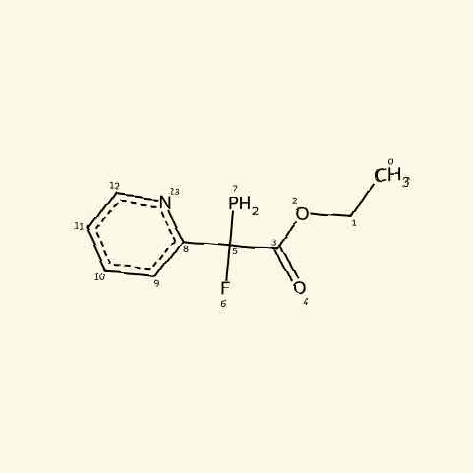 CCOC(=O)C(F)(P)c1ccccn1